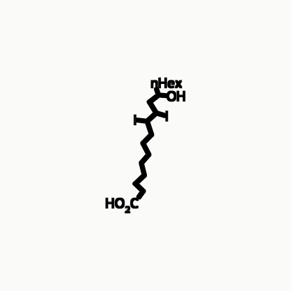 CCCCCCC(O)CC(I)C(I)CCCCCCCC(=O)O